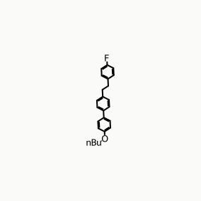 CCCCOc1ccc(-c2ccc(CCc3ccc(F)cc3)cc2)cc1